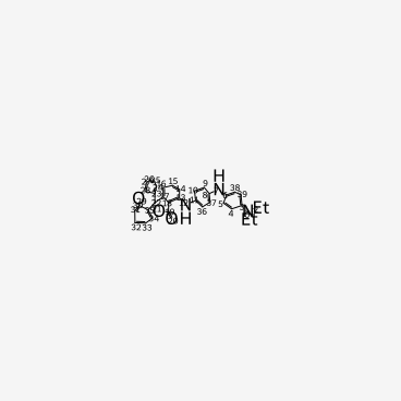 CCN(CC)c1ccc(Nc2ccc(Nc3cccc4c3C(=O)OC43c4ccccc4Oc4ccccc43)cc2)cc1